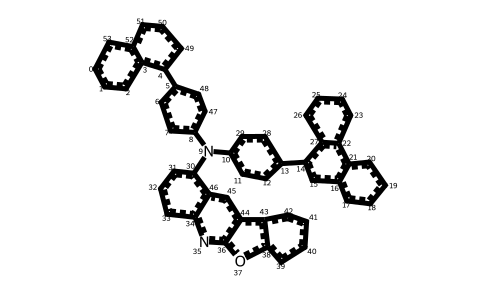 c1ccc2c(-c3ccc(N(c4ccc(-c5cc6ccccc6c6ccccc56)cc4)c4cccc5nc6oc7ccccc7c6cc45)cc3)cccc2c1